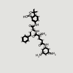 CC1(C)OB(O)c2cc(NC(=O)[C@@H](CCc3ccccc3)NC(=O)[C@@H](N)CCC(=O)N[C@@H]3C[C@H](N)C[C@H](N)C3)ccc21